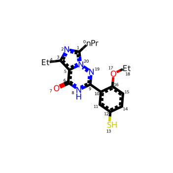 CCCc1nc(CC)c2c(=O)[nH]c(-c3cc(S)ccc3OCC)nn12